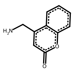 NCc1cc(=O)oc2ccccc12